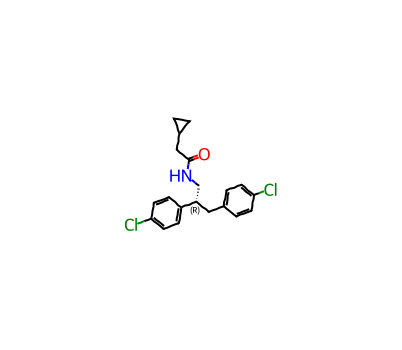 O=C(CC1CC1)NC[C@H](Cc1ccc(Cl)cc1)c1ccc(Cl)cc1